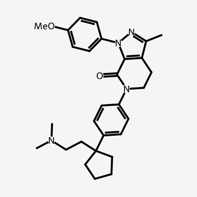 COc1ccc(-n2nc(C)c3c2C(=O)N(c2ccc(C4(CCN(C)C)CCCC4)cc2)CC3)cc1